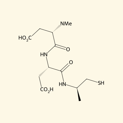 CN[C@@H](CC(=O)O)C(=O)N[C@@H](CC(=O)O)C(=O)N[C@H](C)CS